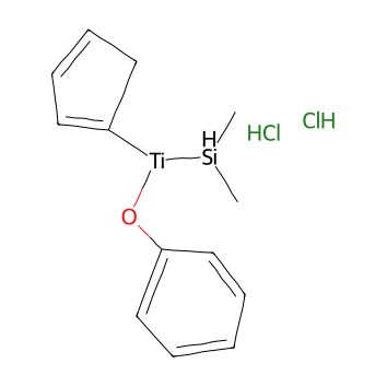 C[SiH](C)[Ti]([O]c1ccccc1)[C]1=CC=CC1.Cl.Cl